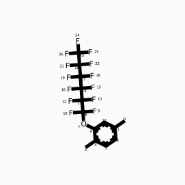 Cc1ccc(C)c(OC(F)(F)C(F)(F)C(F)(F)C(F)(F)C(F)(F)C(F)(F)F)c1